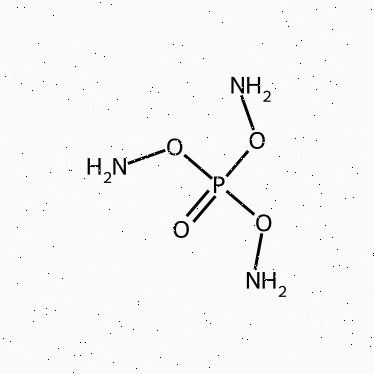 NOP(=O)(ON)ON